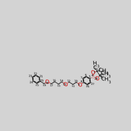 CC1(C)OB(c2ccc(OCCCOCCCCOCc3ccccc3)cc2)OC1(C)C